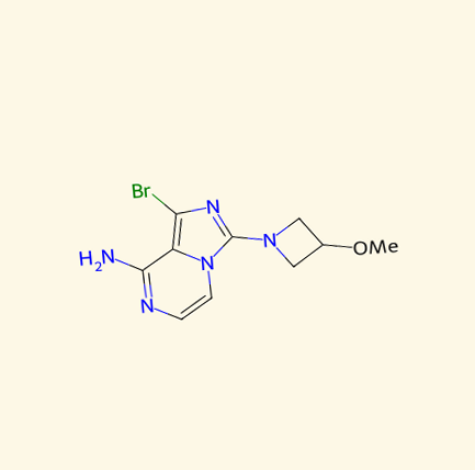 COC1CN(c2nc(Br)c3c(N)nccn23)C1